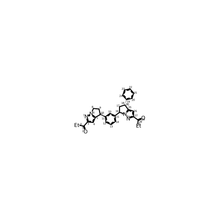 CCC(=O)c1cc2n(n1)CC[C@H]2c1cccc(C2C[C@H](c3ccccc3)c3cc(C(=O)CC)nn32)c1